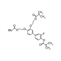 C=C(C)C(=O)OCCOc1cc(-c2ccc(OC(=O)C(=C)C)c(F)c2)ccc1OCCOC(=O)C(C)(C)C